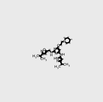 CC(C)c1cc(Nc2cc(OCCN3CCCCC3)nc(NCc3cc(C(C)C)no3)n2)[nH]n1